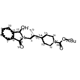 C[C@@H](CN1C(=O)c2ccccc2C1O)C1CCN(C(=O)OC(C)(C)C)CC1